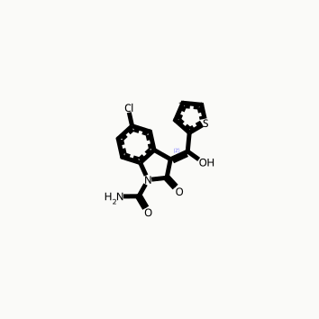 NC(=O)N1C(=O)/C(=C(\O)c2c[c]cs2)c2cc(Cl)ccc21